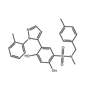 Cc1ccc(CN(C)S(=O)(=O)c2cc(-c3ccnn3-c3ccccc3C)c(O)cc2O)cc1